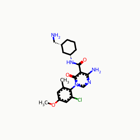 COc1cc(C)c(-n2cnc(N)c(C(=O)N[C@H]3CCC[C@@H](CN)C3)c2=O)c(Cl)c1